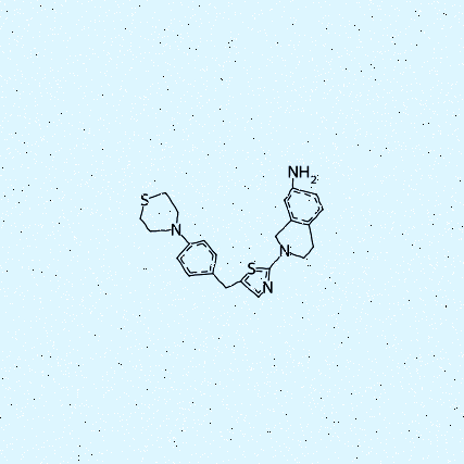 Nc1ccc2c(c1)CN(c1ncc(Cc3ccc(N4CCSCC4)cc3)s1)CC2